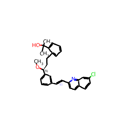 CO[C@@H](CCc1ccccc1C(C)(C)O)c1cccc(/C=C/c2ccc3ccc(Cl)cc3n2)c1